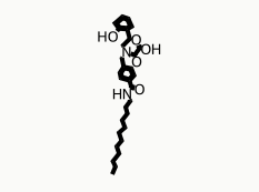 CCCCCCCCCCCCNC(=O)c1ccc(CN(CCc2ccccc2O)C(=O)C(=O)O)cc1